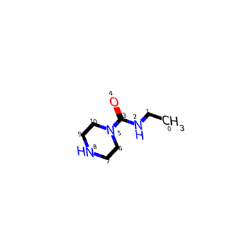 CCNC(=O)N1CCNCC1